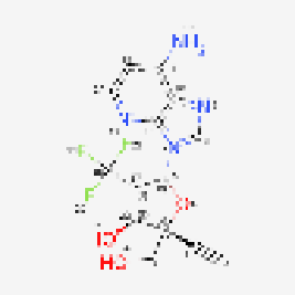 C#C[C@]1(CO)O[C@@H](n2cnc3c(N)ccnc32)[C@@H](C(F)(F)F)[C@@H]1O